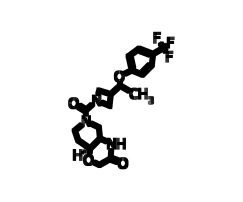 CC(Oc1ccc(C(F)(F)F)cc1)C1CN(C(=O)N2CC[C@@H]3OCC(=O)NC3C2)C1